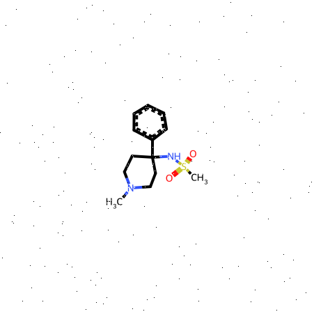 CN1CCC(NS(C)(=O)=O)(c2ccccc2)CC1